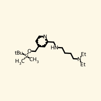 CCN(CC)CCCCNCc1cc(CO[Si](C)(C)C(C)(C)C)ccn1